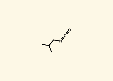 C[C](C)CN=C=O